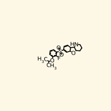 CC(C)Oc1cccc(S(=O)(=O)C2=CC3OC4CCCNC4C3C=C2)c1F